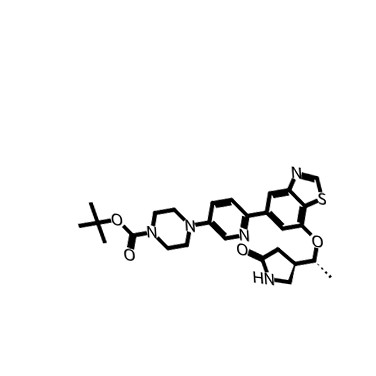 C[C@@H](Oc1cc(-c2ccc(N3CCN(C(=O)OC(C)(C)C)CC3)cn2)cc2ncsc12)[C@H]1CNC(=O)C1